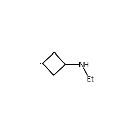 CCNC1C[CH]C1